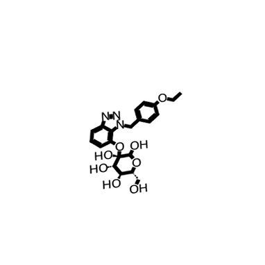 CCOc1ccc(Cn2nnc3cccc(O[C@]4(O)C(O)O[C@H](CO)[C@@H](O)[C@@H]4O)c32)cc1